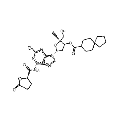 C#C[C@]1(CO)O[C@@H](n2cnc3c(NC(=O)[C@H]4CCC(=O)O4)nc(Cl)nc32)C[C@@H]1OC(=O)C1CCC2(CCCC2)CC1